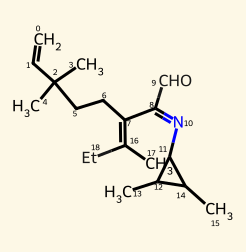 C=CC(C)(C)CCC(/C(C=O)=N\C1C(C)C1C)=C(/C)CC